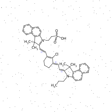 CCCN1/C(=C/C=C2\CCCC(/C=C/C3=[N+](CCS(=O)(=O)O)c4ccc5ccccc5c4C3(C)C)=C2Cl)C(C)(C)c2c1ccc1ccccc21